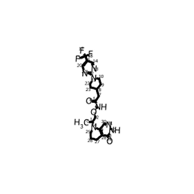 CC(CONC(=O)CC1CCN(c2ncc(C(F)(F)F)cn2)CC1)N1CCCc2c1cn[nH]c2=O